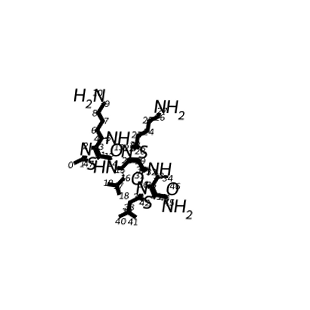 Cc1nc([C@@H](N)CCCCN)c(C(=O)N[C@@H](CC(C)C)c2nc(CCCCN)sc2C(=O)N[C@@H](C)c2nc(CC(C)C)sc2C(N)=O)s1